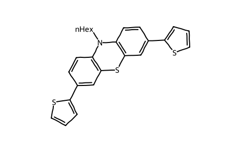 CCCCCCN1c2ccc(-c3cccs3)cc2Sc2cc(-c3cccs3)ccc21